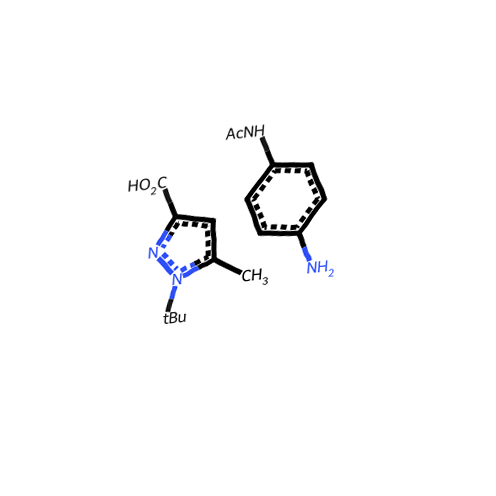 CC(=O)Nc1ccc(N)cc1.Cc1cc(C(=O)O)nn1C(C)(C)C